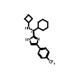 FC(F)(F)c1ccc(-c2c[nH]c([C@@H](NC3CCC3)C3CCCCC3)n2)cc1